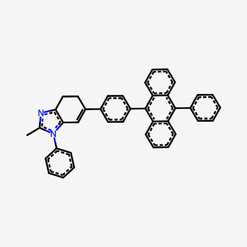 Cc1nc2c(n1-c1ccccc1)C=C(c1ccc(-c3c4ccccc4c(-c4ccccc4)c4ccccc34)cc1)CC2